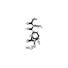 CCC(C)C(=O)N(N)C(=O)[C@@H]1CC[C@@H]2CN1C(=O)N2OS(=O)(=O)O